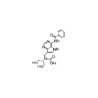 O=C(Nc1ncnc2c(CN(C(=O)O)C(CO)CO)c[nH]c12)c1ccccc1